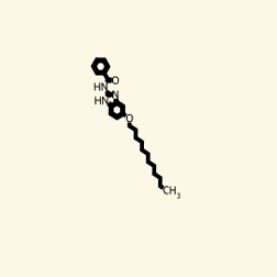 CCCCCCCCCCCCOc1ccc2[nH]c(NC(=O)c3ccccc3)nc2c1